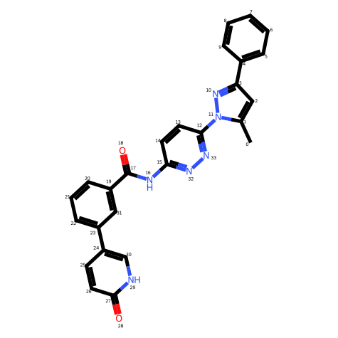 Cc1cc(-c2ccccc2)nn1-c1ccc(NC(=O)c2cccc(-c3ccc(=O)[nH]c3)c2)nn1